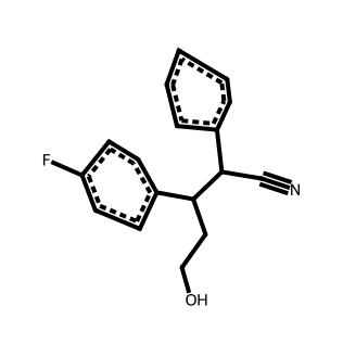 N#CC(c1ccccc1)C(CCO)c1ccc(F)cc1